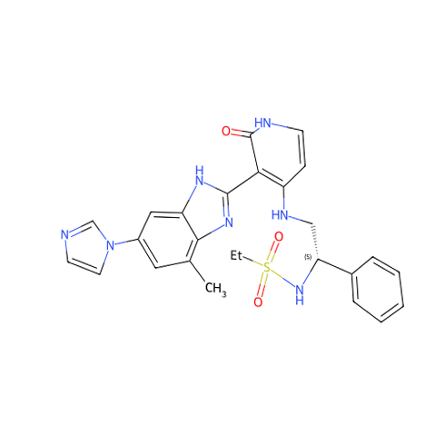 CCS(=O)(=O)N[C@H](CNc1cc[nH]c(=O)c1-c1nc2c(C)cc(-n3ccnc3)cc2[nH]1)c1ccccc1